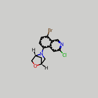 Clc1cc2c(N3C[C@H]4C[C@@H]3CO4)ccc(Br)c2cn1